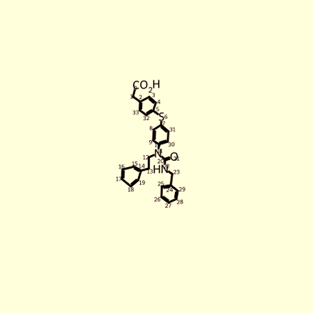 O=C(O)Cc1ccc(Sc2ccc(N(CCc3ccccc3)C(=O)NCc3ccccc3)cc2)cc1